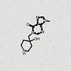 Cn1cnc2c(=O)n(CC3(O)CCNCC3)cnc21